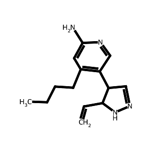 C=CC1NN=CC1c1cnc(N)cc1CCCC